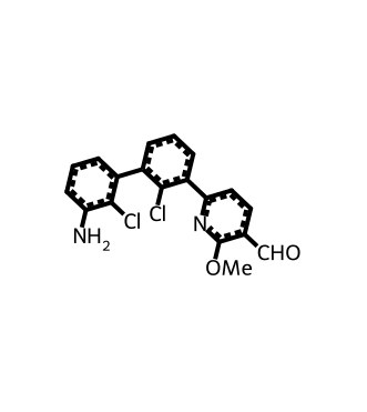 COc1nc(-c2cccc(-c3cccc(N)c3Cl)c2Cl)ccc1C=O